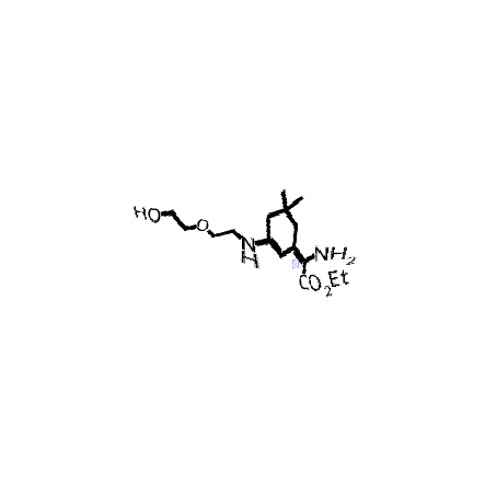 CCOC(=O)/C(N)=C1\C=C(NCCOCCO)CC(C)(C)C1